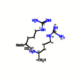 CNC(CCCNC(=N)N)C(=O)O.N=C(N)NCCCC(N)C(=O)O